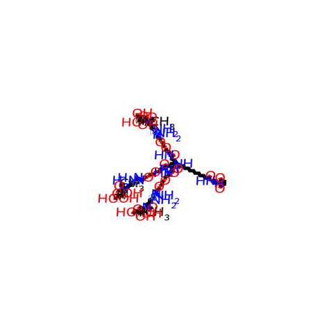 CC(=O)N(CCC/C(N)=C/N(N)CCOCCOCCNC(=O)CCC(CCC(=O)NCCOCCOCCN(N)/C=C(\N)CCCN(C(C)=O)[C@H]1CO[C@H](CO)[C@H](O)[C@@H]1O)(CCC(=O)NCCOCCOCCN(N)/C=C(\N)CCCN(C(C)=O)[C@H]1CO[C@H](CO)[C@H](O)[C@@H]1O)NC(=O)CCCCCCCCCCC(=O)NCCN1C(=O)C=CC1=O)[C@H]1CO[C@H](CO)[C@H](O)[C@@H]1O